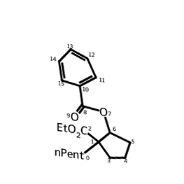 CCCCCC1(C(=O)OCC)CCCC1OC(=O)c1ccccc1